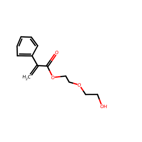 C=C(C(=O)OCCOCCO)c1ccccc1